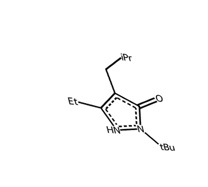 CCc1[nH]n(C(C)(C)C)c(=O)c1CC(C)C